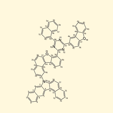 c1ccc2cc3c(cc2c1)c1c2ccccc2ccc1n3-c1ccc2ccc3oc4c(-c5nc(-c6ccc7oc8ccccc8c7c6)nc(-c6cccc7ccccc67)n5)cccc4c3c2c1